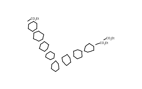 C1CCCCC1.C1CCCCC1.C1CCCCC1.C1CCCCC1.C1CCCCC1.C1CCCCC1.C1CCCCC1.C1CCCCC1.CCOC(C)=O.CCOC(C)=O.CCOC(C)=O